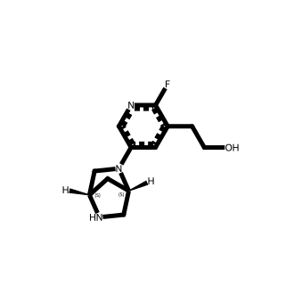 OCCc1cc(N2C[C@@H]3C[C@H]2CN3)cnc1F